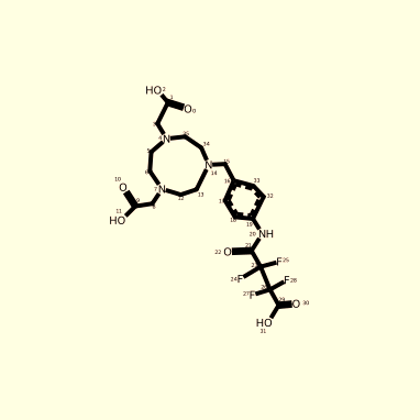 O=C(O)CN1CCN(CC(=O)O)CCN(Cc2ccc(NC(=O)C(F)(F)C(F)(F)C(=O)O)cc2)CC1